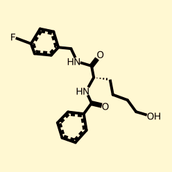 O=C(N[C@@H](CCCCO)C(=O)NCc1ccc(F)cc1)c1ccccc1